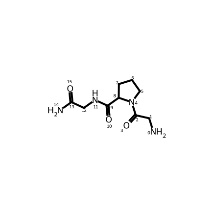 NCC(=O)N1CCCC1C(=O)NCC(N)=O